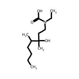 CCCCC(C)C(C)(O)CCN(CC)C(=O)O